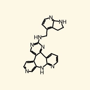 c1cnc2c(c1)-c1nc(NCc3ccnc4c3CCN4)ncc1-c1ccncc1N2